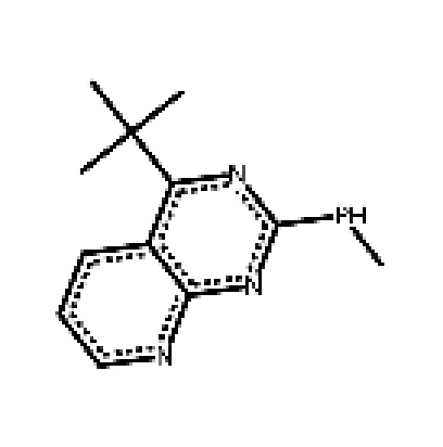 CPc1nc(C(C)(C)C)c2cccnc2n1